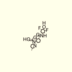 Cc1ccc(N2c3cccc(C(=O)Nc4cc(F)c(O)c(F)c4)c3OC[C@@H]2CO)nc1